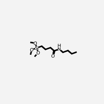 CCCCNC(=O)CCC[Si](OC)(OC)OC